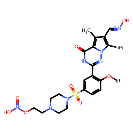 CCCc1c(/C=N/O)c(C)c2c(=O)[nH]c(-c3cc(S(=O)(=O)N4CCN(CCO[N+](=O)O)CC4)ccc3OCC)nn12